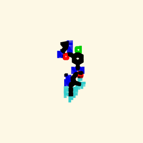 Cn1nc(C(F)(F)C(F)(F)F)c(C(F)(F)F)c1-c1nc(-c2ccc(Cl)c(C(=O)NC3(C#N)CC3)c2)no1